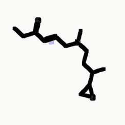 CCC(=O)/C=C/CN(C)CCC(C)C1CO1